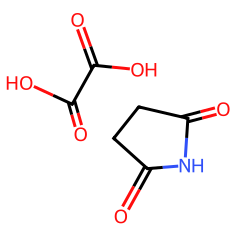 O=C(O)C(=O)O.O=C1CCC(=O)N1